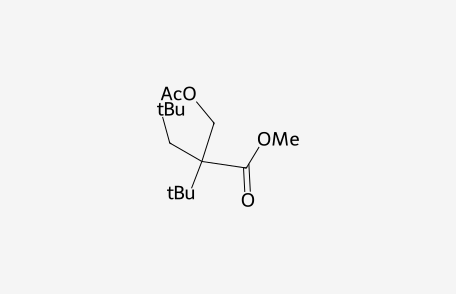 COC(=O)C(COC(C)=O)(CC(C)(C)C)C(C)(C)C